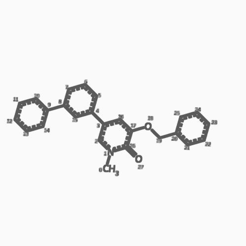 Cn1cc(-c2cccc(-c3ccccc3)c2)cc(OCc2ccccc2)c1=O